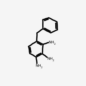 Nc1ccc(Cc2ccccc2)c(N)c1N